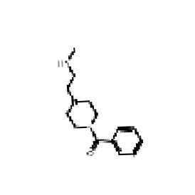 O=C(c1ccccc1)N1CCN(CCNI)CC1